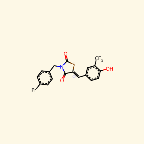 CC(C)c1ccc(CN2C(=O)S/C(=C\c3ccc(O)c(C(F)(F)F)c3)C2=O)cc1